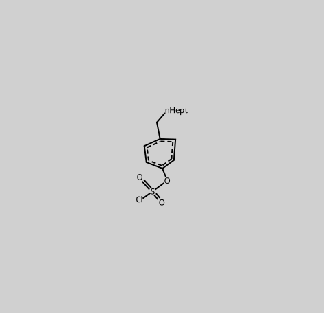 CCCCCCCCc1ccc(OS(=O)(=O)Cl)cc1